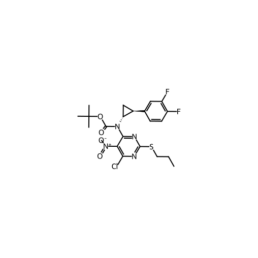 CCCSc1nc(Cl)c([N+](=O)[O-])c(N(C(=O)OC(C)(C)C)[C@@H]2C[C@H]2c2ccc(F)c(F)c2)n1